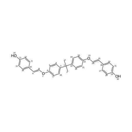 CC(C)(c1ccc(OC=Cc2ccc(O)cc2)cc1)c1ccc(OC=Cc2ccc(O)cc2)cc1